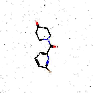 O=C1CCN(C(=O)c2cccc(Br)n2)CC1